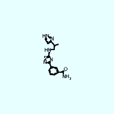 CC(CNc1nc(-c2cccc(C(N)=O)c2)ns1)c1cc[nH]n1